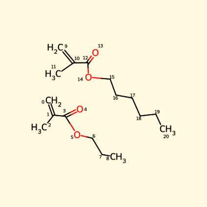 C=C(C)C(=O)OCCC.C=C(C)C(=O)OCCCCCC